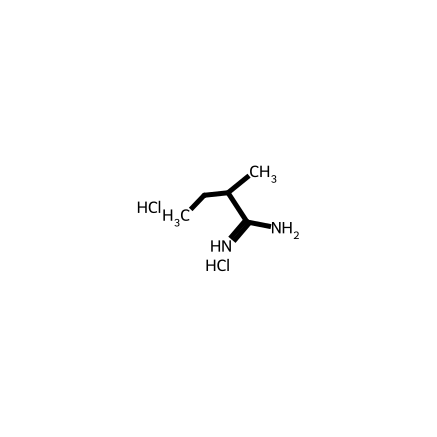 CCC(C)C(=N)N.Cl.Cl